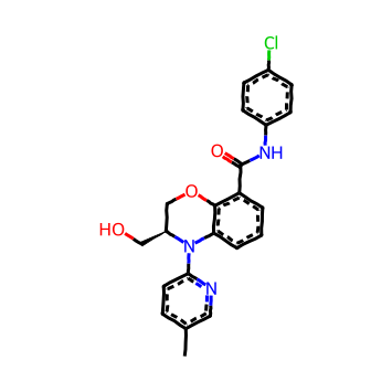 Cc1ccc(N2c3cccc(C(=O)Nc4ccc(Cl)cc4)c3OC[C@@H]2CO)nc1